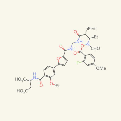 CCCCC[C@@H](C(=O)NCNC(=O)c1ccc(-c2ccc(C(=O)N[C@@H](CC(=O)O)C(=O)O)c(OCC)c2)o1)[C@@H](CC)N(C=O)OC(=O)c1ccc(OC)cc1F